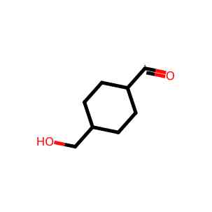 O=[C]C1CCC(CO)CC1